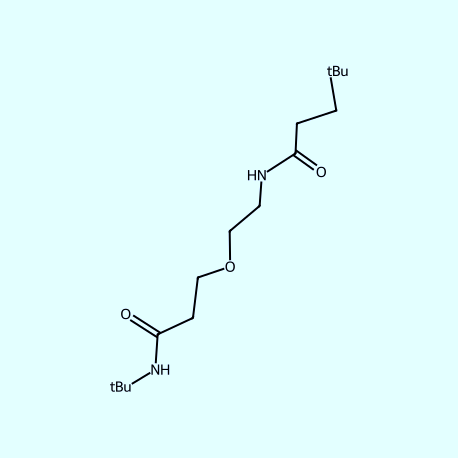 CC(C)(C)CCC(=O)NCCOCCC(=O)NC(C)(C)C